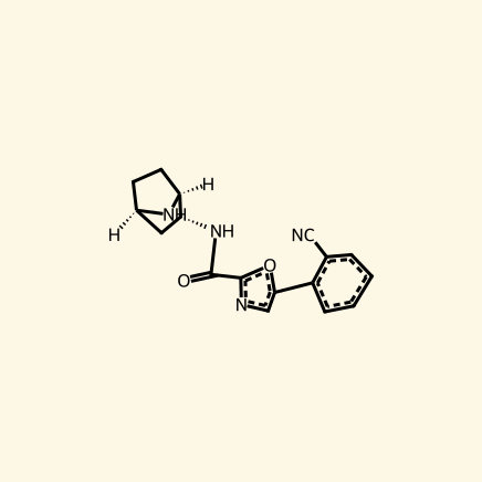 N#Cc1ccccc1-c1cnc(C(=O)N[C@@H]2C[C@H]3CC[C@@H]2N3)o1